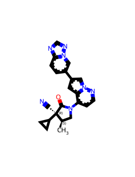 C[C@@H]1CN(c2ccnn3cc(-c4ccc5ncnn5c4)cc23)C(=O)[C@]1(C#N)C1CC1